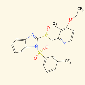 Cc1c(OCC(F)(F)F)ccnc1C[S+]([O-])c1nc2ccccc2n1S(=O)(=O)c1cccc(C(F)(F)F)c1